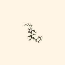 CCOC(=O)Cn1cnc2c(NC(=O)OCc3ccccc3)ncnc21